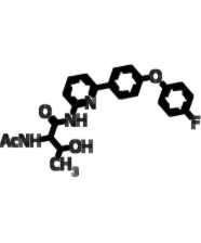 CC(=O)NC(C(=O)Nc1cccc(-c2ccc(Oc3ccc(F)cc3)cc2)n1)C(C)O